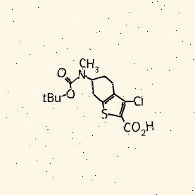 CN(C(=O)OC(C)(C)C)C1CCc2c(sc(C(=O)O)c2Cl)C1